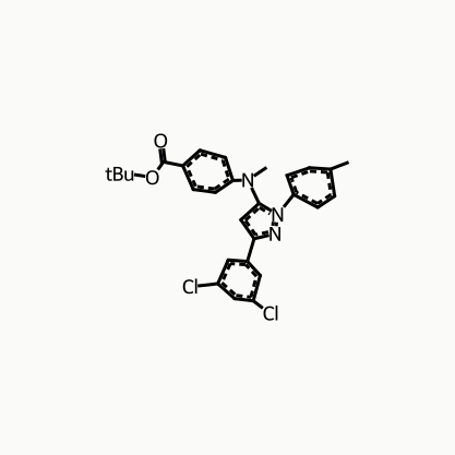 Cc1ccc(-n2nc(-c3cc(Cl)cc(Cl)c3)cc2N(C)c2ccc(C(=O)OC(C)(C)C)cc2)cc1